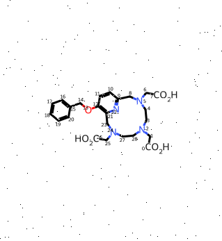 O=C(O)CN1CCN(CC(=O)O)Cc2ccc(OCc3ccccc3)c(n2)CN(CC(=O)O)CC1